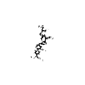 CCC[C@@H](CF)Nc1nc(N)c2ncc(Cc3cnc(N4CCC(N(C)C)CC4)c(C)c3)n2n1